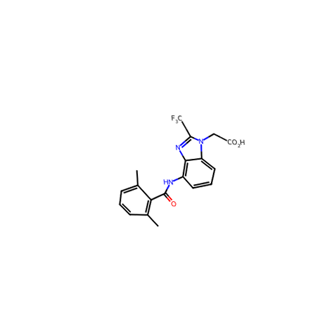 Cc1cccc(C)c1C(=O)Nc1cccc2c1nc(C(F)(F)F)n2CC(=O)O